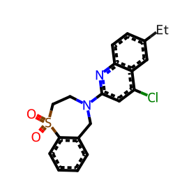 CCc1ccc2nc(N3CCS(=O)(=O)c4ccccc4C3)cc(Cl)c2c1